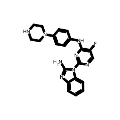 Nc1nc2ccccc2n1-c1ncc(F)c(Nc2ccc(N3CCNCC3)cc2)n1